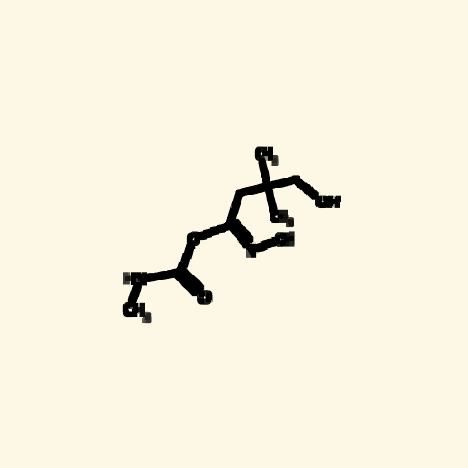 CNC(=O)OC(CC(C)(C)CO)=NO